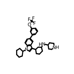 FC(F)(F)Oc1cccc(-c2ccc3c(c2)c(C2CCCC(NC4CCNCC4)C2)cn3C2CCCCC2)c1